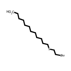 CCC(C)CCSCCCCCCCCCCCC(=O)O